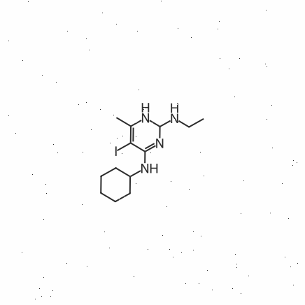 CCNC1N=C(NC2CCCCC2)C(I)=C(C)N1